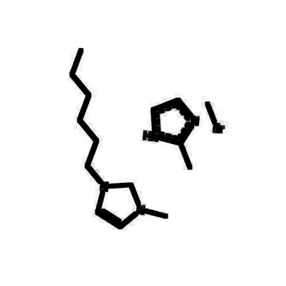 CBr.CCCCCCN1C=CN(C)C1.Cc1ncc[nH]1